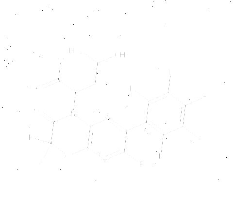 CC(C)CC(C(=O)O)N1C(=O)C(F)(F)Oc2cc(F)c(-c3c(F)c(F)c(F)c(F)c3F)cc21